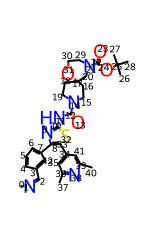 C/N=C\c1cccc(-c2nc(NC(=O)N3CCC4(CC3)CN(C(=O)OC(C)(C)C)CCO4)sc2-c2cc(C)nc(C)c2)c1